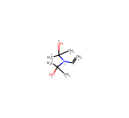 C=CN(C(C)(C)O)C(C)(C)O